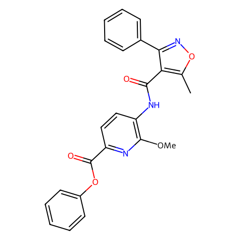 COc1nc(C(=O)Oc2ccccc2)ccc1NC(=O)c1c(-c2ccccc2)noc1C